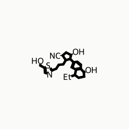 CCC1CCC(O)c2ccc(C3C(CCCc4ncc(CO)s4)[C@H](C#N)C[C@H]3O)cc21